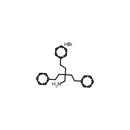 Br.NCC(CCc1ccccc1)(CCc1ccccc1)CCc1ccccc1